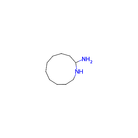 NC1CCCCCCCCCN1